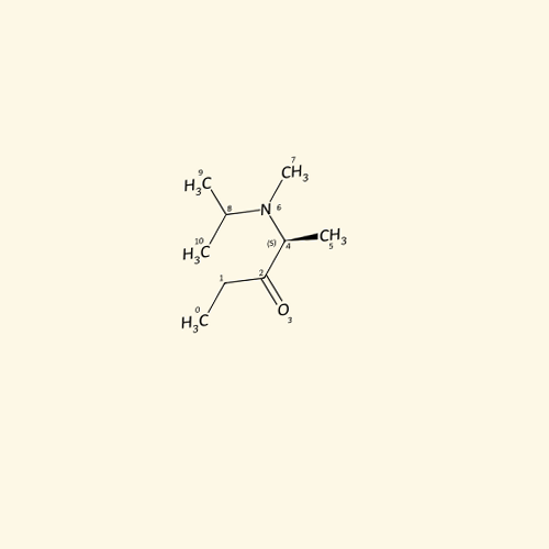 CCC(=O)[C@H](C)N(C)C(C)C